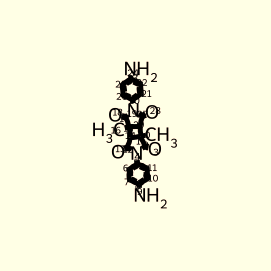 CC12C(=O)N(c3ccc(N)cc3)C(=O)C1C1(C)C(=O)N(c3ccc(N)cc3)C(=O)C21